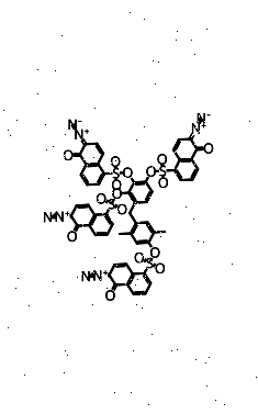 Cc1cc(OS(=O)(=O)c2cccc3c2C=CC(=[N+]=[N-])C3=O)c(C)cc1Cc1ccc(OS(=O)(=O)c2cccc3c2C=CC(=[N+]=[N-])C3=O)c(OS(=O)(=O)c2cccc3c2C=CC(=[N+]=[N-])C3=O)c1OS(=O)(=O)c1cccc2c1C=CC(=[N+]=[N-])C2=O